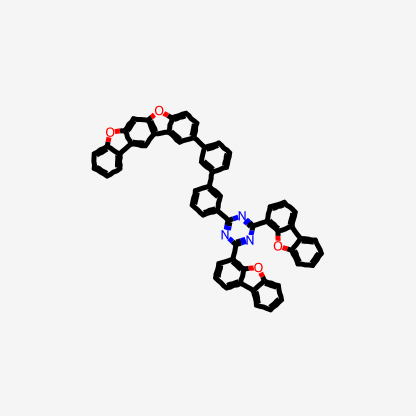 c1cc(-c2cccc(-c3nc(-c4cccc5c4oc4ccccc45)nc(-c4cccc5c4oc4ccccc45)n3)c2)cc(-c2ccc3oc4cc5oc6ccccc6c5cc4c3c2)c1